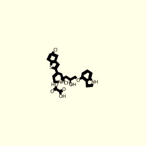 CC1(C[C@H](O)COc2cccc3[nH]ccc23)CC(c2cc3cc(Cl)ccc3s2)=CCN1.O=C(O)C(=O)O